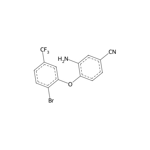 N#Cc1ccc(Oc2cc(C(F)(F)F)ccc2Br)c(N)c1